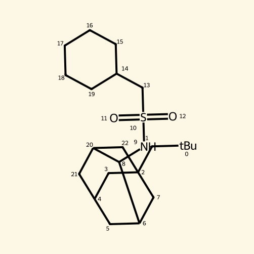 CC(C)(C)CC12CC3CC(C1)C(NS(=O)(=O)CC1CCCCC1)C(C3)C2